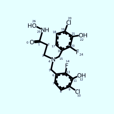 O=C(CCN(Cc1ccc(Cl)c(O)c1F)Cc1ccc(Cl)c(O)c1F)NO